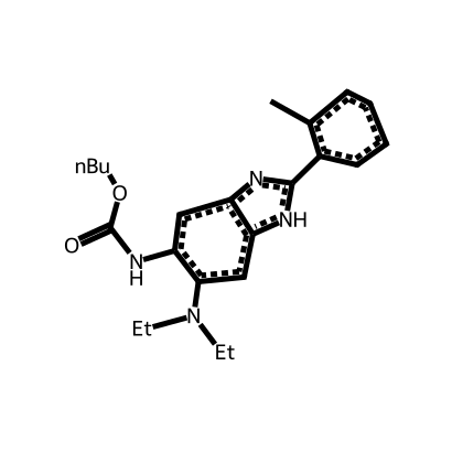 CCCCOC(=O)Nc1cc2nc(-c3ccccc3C)[nH]c2cc1N(CC)CC